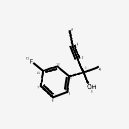 CC#CC(C)(O)c1cccc(F)c1